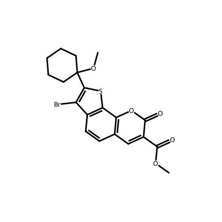 COC(=O)c1cc2ccc3c(Br)c(C4(OC)CCCCC4)sc3c2oc1=O